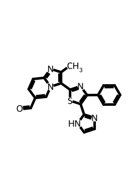 Cc1nc2ccc(C=O)cn2c1-c1nc(-c2ccccc2)c(-c2ncc[nH]2)s1